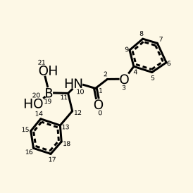 O=C(COc1ccccc1)NC(Cc1ccccc1)B(O)O